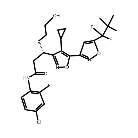 CC(C)(C)C(F)(F)c1cc(-c2onc([C@@H](CCCO)CC(=O)Nc3ccc(Cl)cc3F)c2C2CC2)no1